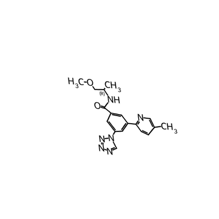 COC[C@@H](C)NC(=O)c1cc(-c2ccc(C)cn2)cc(-n2cnnn2)c1